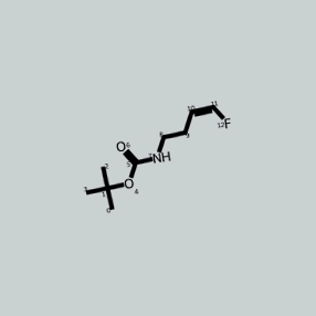 CC(C)(C)OC(=O)NCC/C=C\F